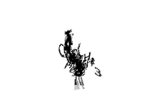 Cc1c(NC(=O)c2noc(-c3ccc(C4CC4)cc3Cl)c2Cl)c(=O)n(-c2ccccc2F)n1C